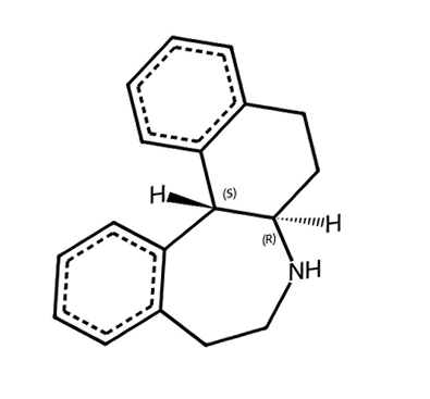 c1ccc2c(c1)CCN[C@@H]1CCc3ccccc3[C@@H]21